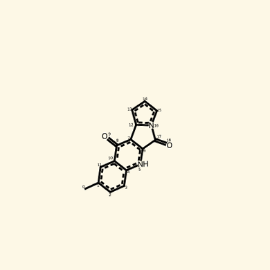 Cc1ccc2[nH]c3c(c(=O)c2c1)-c1cccn1C3=O